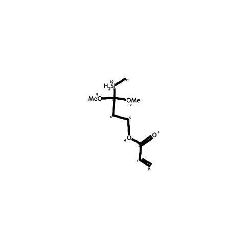 C=CC(=O)OCCC(OC)(OC)[SiH2]C